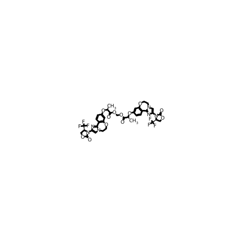 C[C@H](Oc1ccc2c(c1)OCCn1cc(N3C(=O)OC[C@H]3C(F)(F)F)nc1-2)C(=O)OCOC(=O)[C@H](C)Oc1ccc2c(c1)OCCn1cc(N3C(=O)OC[C@H]3C(F)(F)F)nc1-2